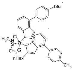 CCCCCCC1=Cc2c(-c3ccc(C)cc3)cccc2[CH]1[Zr]([Cl])([Cl])([CH]1C=Cc2c(-c3ccc(C(C)(C)C)cc3)cccc21)[SiH](C)C